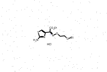 CCOCCO/N=C(\C(=O)OCC)c1csc(N)n1.Cl